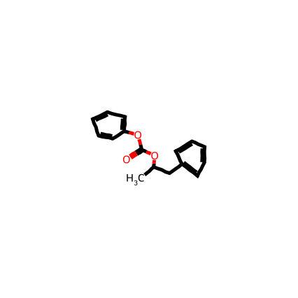 CC(Cc1ccccc1)OC(=O)Oc1ccccc1